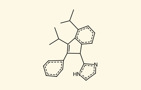 CC(C)C1=C(c2ccccc2)C(c2ncc[nH]2)c2cccc(C(C)C)c21